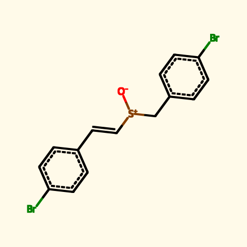 [O-][S+](/C=C/c1ccc(Br)cc1)Cc1ccc(Br)cc1